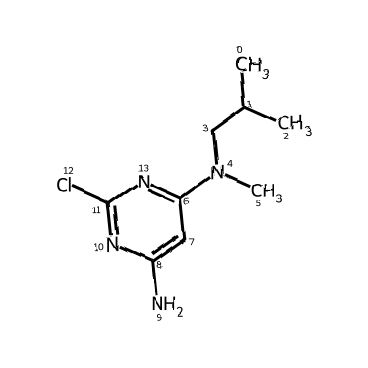 CC(C)CN(C)c1cc(N)nc(Cl)n1